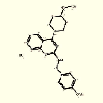 COc1ccc(CNc2cc(N3CCC(NC(C)(C)C)CC3)c3ccccc3n2)cc1.Cl